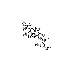 COC(=O)Nc1ccc2c(-c3nc(N[C@@H]4CNC[C@@H](O)C4)ncc3C(F)(F)F)c[nH]c2c1Br